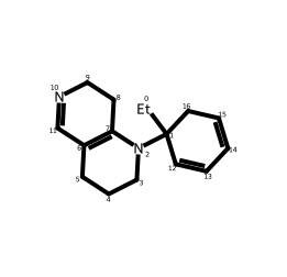 CCC1(N2CCCC3=C2CCN=C3)C=CC=CC1